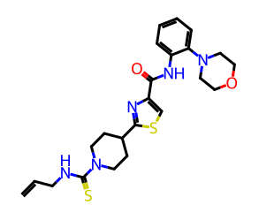 C=CCNC(=S)N1CCC(c2nc(C(=O)Nc3ccccc3N3CCOCC3)cs2)CC1